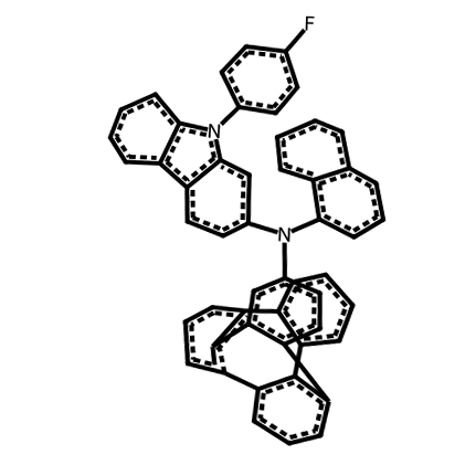 Fc1ccc(-n2c3ccccc3c3ccc(N(c4ccc5c(c4)-c4c6cccc4-c4cccc-5c4-c4ccccc4-6)c4cccc5ccccc45)cc32)cc1